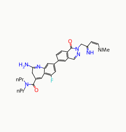 CCCN(CCC)C(=O)C1=Cc2c(F)cc(-c3ccc4c(=O)n(CC(=N)/C=C\NC)ncc4c3)cc2N=C(N)C1